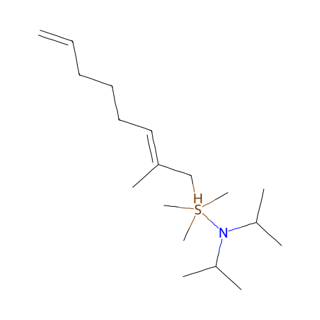 C=CCCC/C=C(\C)C[SH](C)(C)(C)N(C(C)C)C(C)C